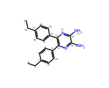 CCc1ccc(-c2nc(N)c(N)nc2-c2ccc(CC)cc2)cc1